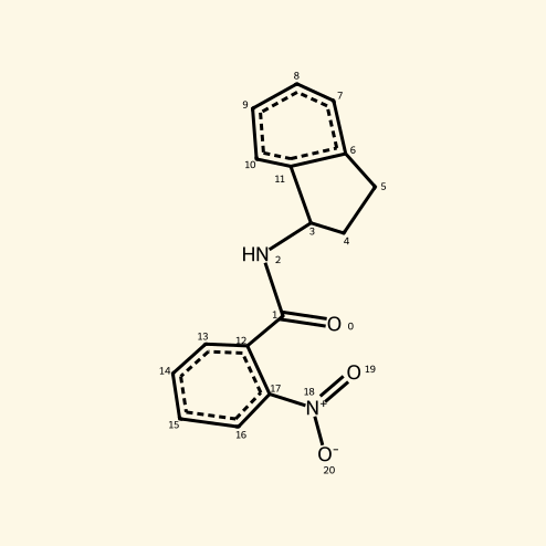 O=C(NC1CCc2ccccc21)c1ccccc1[N+](=O)[O-]